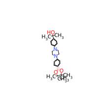 CC(C)(O)c1ccc(N2CCN(c3ccc(B4OC(C)(C)C(C)(C)O4)cc3)CC2)cc1